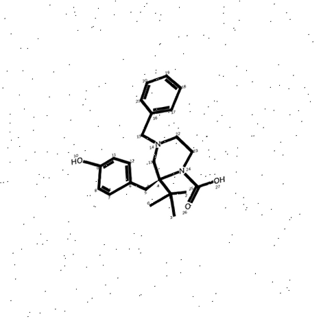 CC(C)(C)[C@]1(Cc2ccc(O)cc2)CN(Cc2ccccc2)CCN1C(=O)O